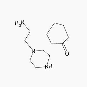 NCCN1CCNCC1.O=C1CCCCC1